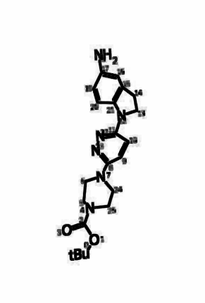 CC(C)(C)OC(=O)N1CCN(c2ccc(N3CCc4cc(N)ccc43)nn2)CC1